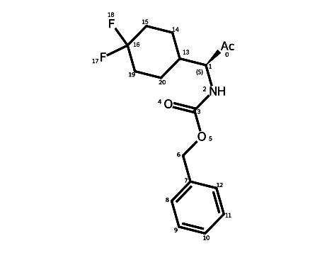 CC(=O)[C@@H](NC(=O)OCc1ccccc1)C1CCC(F)(F)CC1